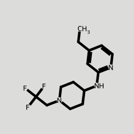 CCc1ccnc(NC2CCN(CC(F)(F)F)CC2)c1